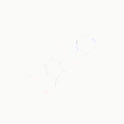 CCOc1ccc(S(=O)(=O)N2CCN(C)CC2)cc1CO